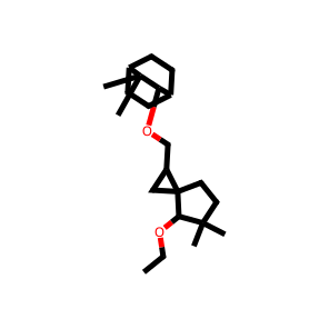 CCOC1C(C)(C)CCC12CC2COC1C2CCC(CC2)C1(C)C